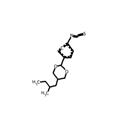 CCC(C)CC1COC(c2ccc(N=C=S)cc2)OC1